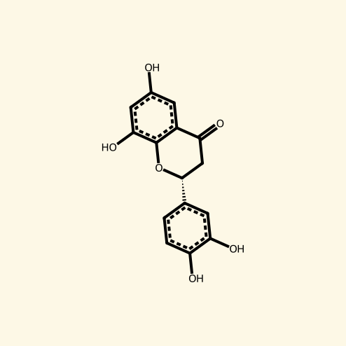 O=C1C[C@H](c2ccc(O)c(O)c2)Oc2c(O)cc(O)cc21